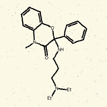 CCN(CC)CCCNC1(c2ccccc2)Oc2ccccc2N(C)C1=O